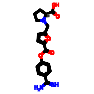 N=C(N)c1ccc(OC(=O)c2ccc(CN3CCC[C@H]3C(=O)O)o2)cc1